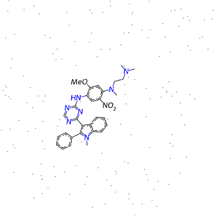 COc1cc(N(C)CCN(C)C)c([N+](=O)[O-])cc1Nc1ncnc(-c2c(-c3ccccc3)n(C)c3ccccc23)n1